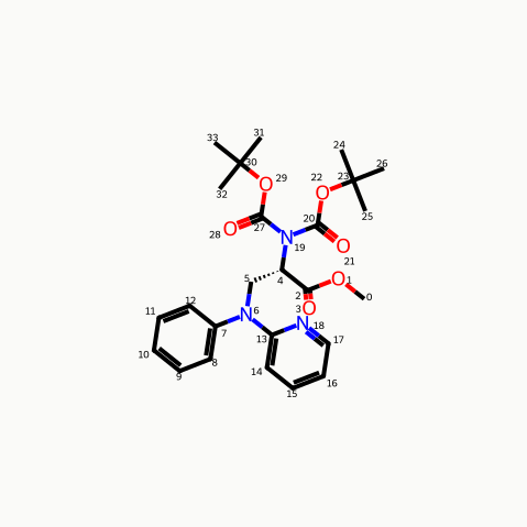 COC(=O)[C@H](CN(c1ccccc1)c1ccccn1)N(C(=O)OC(C)(C)C)C(=O)OC(C)(C)C